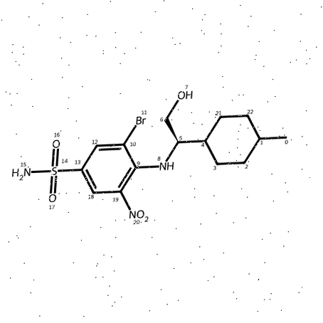 CC1CCC([C@H](CO)Nc2c(Br)cc(S(N)(=O)=O)cc2[N+](=O)[O-])CC1